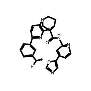 O=C(Nc1cc(-c2cnco2)ccn1)N1c2nc(-c3cccc(C(F)F)c3)ccc2N2CCC1CC2